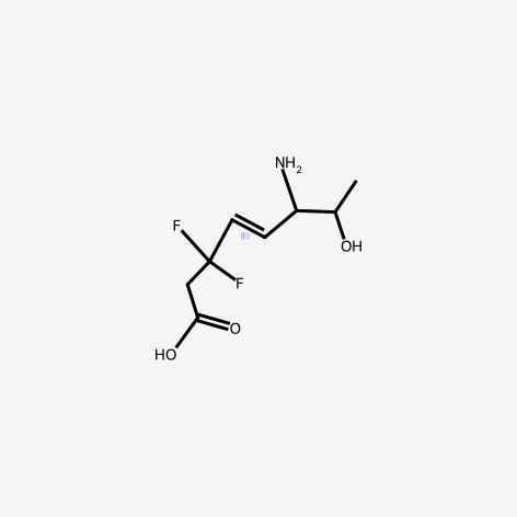 CC(O)C(N)/C=C/C(F)(F)CC(=O)O